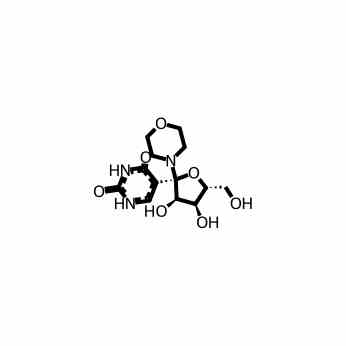 O=c1[nH]cc([C@]2(N3CCOCC3)O[C@H](CO)[C@@H](O)[C@H]2O)c(=O)[nH]1